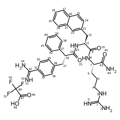 N=C(N)NCCC[C@H](NC(=O)[C@H](Cc1ccc2ccccc2c1)NC(=O)[C@H](Cc1ccc(C(=N)N)cc1)c1ccccc1)C(N)=O.O=C(O)C(F)(F)F